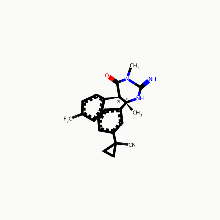 CN1C(=N)N[C@](C)(c2cccc(C3(C#N)CC3)c2)[C@@H](c2ccc(C(F)(F)F)cc2)C1=O